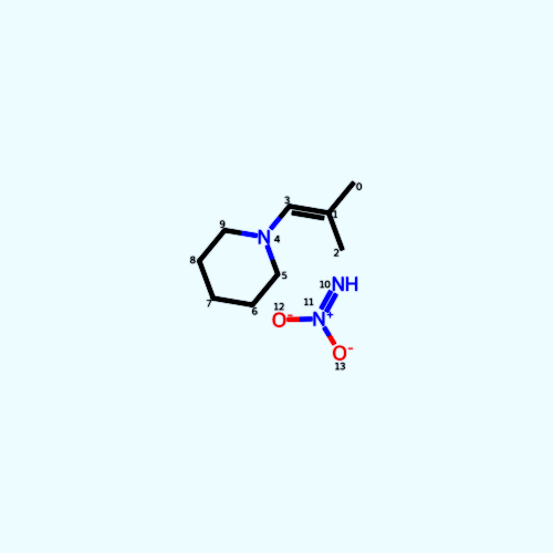 CC(C)=CN1CCCCC1.N=[N+]([O-])[O-]